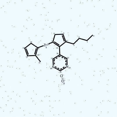 CCCCC1=CC[C]([Zr+2][C]2=C(C)C=CC2)=C1c1cncnc1.[Cl-].[Cl-]